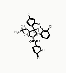 CC(C)(C)C[C@@H]1CN(S(=O)(=O)c2ccc(=O)[nH]c2)[C@H](c2cccc(Cl)c2F)[C@@]1(N)c1ccc(Cl)cc1F